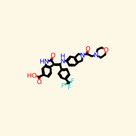 O=C1Nc2cc(C(=O)O)ccc2/C1=C(/Nc1ccc2c(c1)CN(C(=O)CN1CCOCC1)C2)c1ccc(C(F)(F)F)cc1